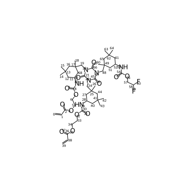 C=CC(=O)OCCOC(=O)NC1CC(C)(C)CC(C)(Cn2c(=O)n(CC3(C)CC(NC(=O)OCCOC(=O)C=C)CC(C)(C)C3)c(=O)n(CC3(C)CC(NC(=O)OCC(F)F)CC(C)(C)C3)c2=O)C1